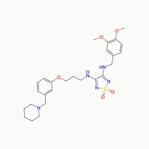 COc1ccc(CNC2=NS(=O)(=O)N=C2NCCCOc2cccc(CN3CCCCC3)c2)cc1OC